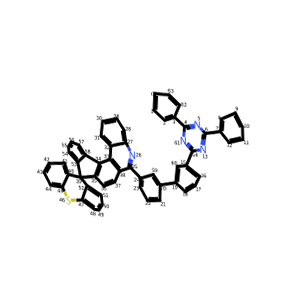 c1ccc(-c2nc(-c3ccccc3)nc(-c3cccc(-c4cccc(-c5nc6ccccc6c6c7c(ccc56)C5(c6ccccc6Sc6ccccc65)c5ccccc5-7)c4)c3)n2)cc1